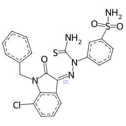 NC(=S)N(/N=C1\C(=O)N(Cc2ccccc2)c2c(Cl)cccc21)c1cccc(S(N)(=O)=O)c1